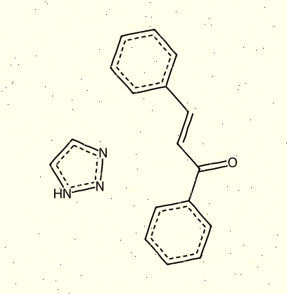 O=C(C=Cc1ccccc1)c1ccccc1.c1c[nH]nn1